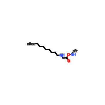 CCCCCCCCCCCCCCCCCCNCC(=O)ONCCC